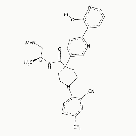 CCOc1ncccc1-c1ccc(C2(C(=O)N[C@@H](C)CNC)CCN(c3ccc(C(F)(F)F)cc3C#N)CC2)cn1